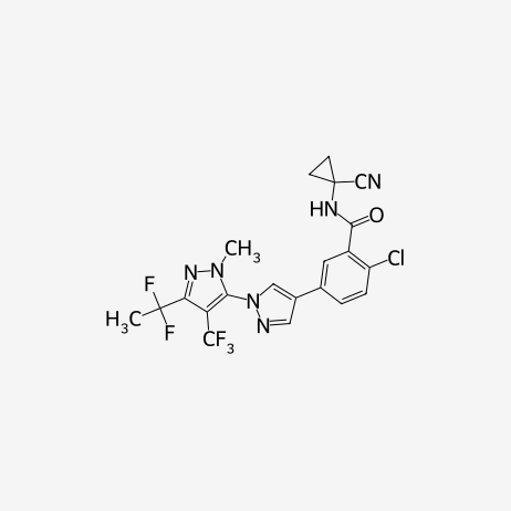 Cn1nc(C(C)(F)F)c(C(F)(F)F)c1-n1cc(-c2ccc(Cl)c(C(=O)NC3(C#N)CC3)c2)cn1